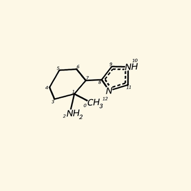 CC1(N)CCCCC1c1c[nH]cn1